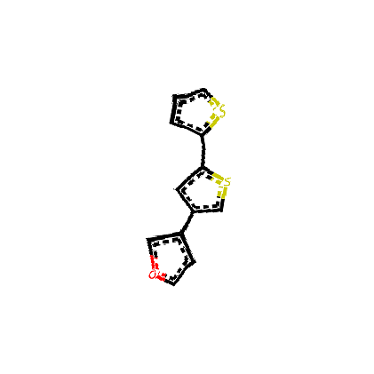 [c]1c(-c2ccoc2)csc1-c1cccs1